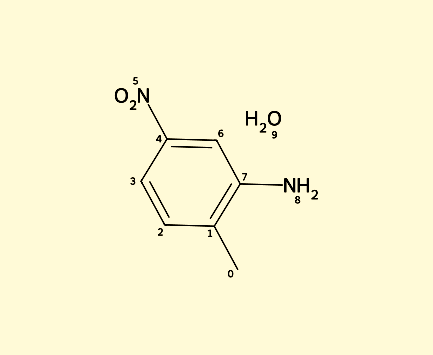 Cc1ccc([N+](=O)[O-])cc1N.O